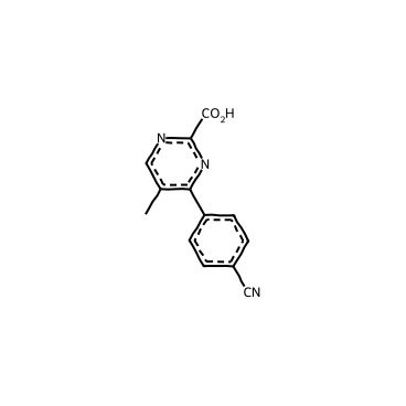 Cc1cnc(C(=O)O)nc1-c1ccc(C#N)cc1